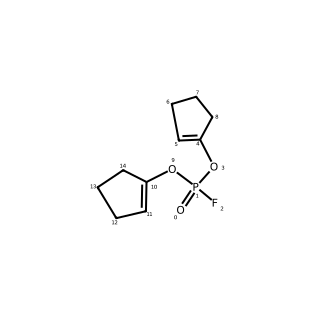 O=P(F)(OC1=CCCC1)OC1=CCCC1